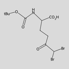 CC(C)(C)OC(=O)NC(CCC(=O)C(Br)Br)C(=O)O